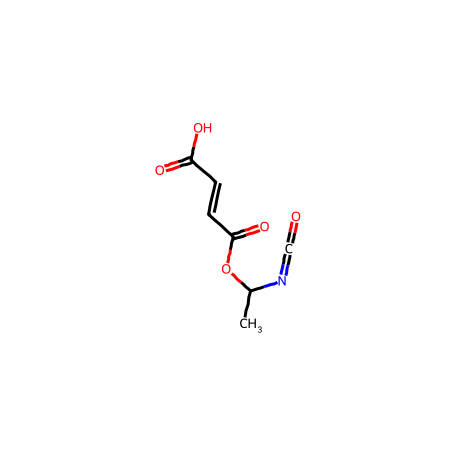 CC(N=C=O)OC(=O)C=CC(=O)O